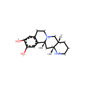 Oc1cc2c(cc1O)[C@H]1C[C@H]3NCCC[C@H]3CN1CC2